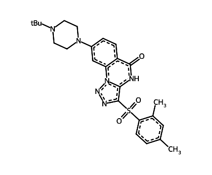 Cc1ccc(S(=O)(=O)c2nnn3c2[nH]c(=O)c2ccc(N4CCN(C(C)(C)C)CC4)cc23)c(C)c1